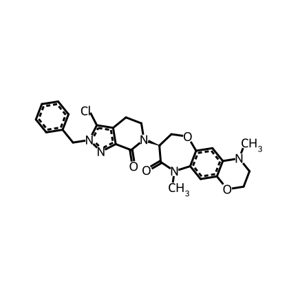 CN1CCOc2cc3c(cc21)OC[C@H](N1CCc2c(nn(Cc4ccccc4)c2Cl)C1=O)C(=O)N3C